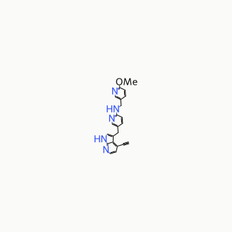 C#Cc1ccnc2[nH]cc(Cc3ccc(NCc4ccc(OC)nc4)nc3)c12